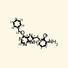 Nc1cccn(Cc2nc3c(OCc4ccccc4)ncnc3[nH]2)c1=O